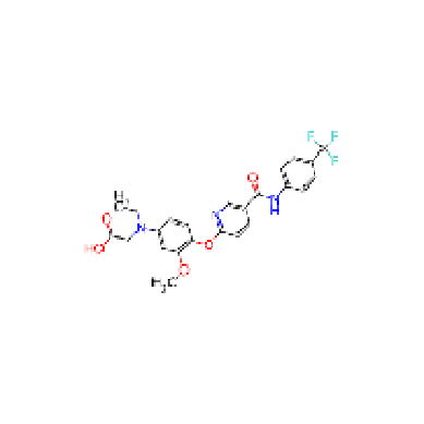 CCN(CC(=O)O)c1ccc(Oc2ccc(C(=O)Nc3ccc(C(F)(F)F)cc3)cn2)c(OC)c1